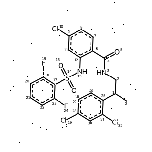 CC(CNC(=O)c1ccc(Cl)cc1NS(=O)(=O)c1c(F)cccc1F)c1ccc(Cl)cc1Cl